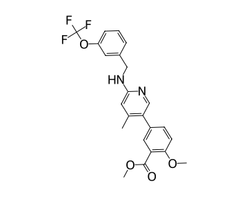 COC(=O)c1cc(-c2cnc(NCc3cccc(OC(F)(F)F)c3)cc2C)ccc1OC